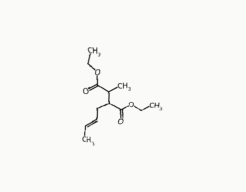 CC=CCC(C(=O)OCC)C(C)C(=O)OCC